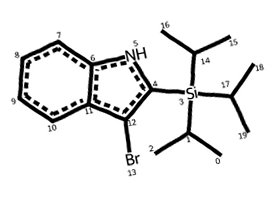 CC(C)[Si](c1[nH]c2ccccc2c1Br)(C(C)C)C(C)C